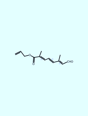 C=CCOC(=O)/C(C)=C/C=C/C(C)=C/C=O